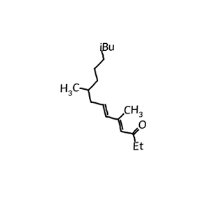 CCC(=O)/C=C(C)/C=C/CC(C)CCCC(C)CC